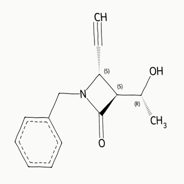 C#C[C@@H]1[C@@H]([C@@H](C)O)C(=O)N1Cc1ccccc1